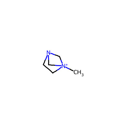 C[N+]12CCN(C1)C2